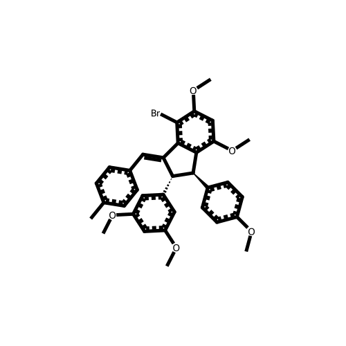 COc1ccc([C@@H]2c3c(OC)cc(OC)c(Br)c3/C(=C/c3ccc(C)cc3)[C@H]2c2cc(OC)cc(OC)c2)cc1